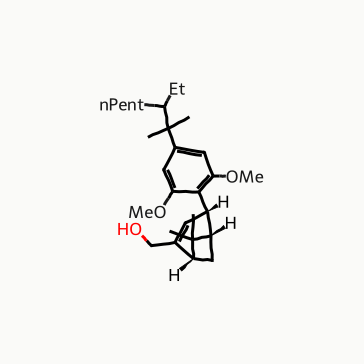 CCCCCC(CC)C(C)(C)c1cc(OC)c([C@H]2C=C(CO)[C@H]3C[C@@H]2C3(C)C)c(OC)c1